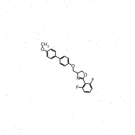 COc1ccc(-c2ccc(OCC3COC(c4c(F)cccc4F)=N3)cc2)cc1